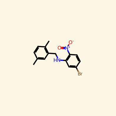 Cc1ccc(C)c(CNc2cc(Br)ccc2[N+](=O)[O-])c1